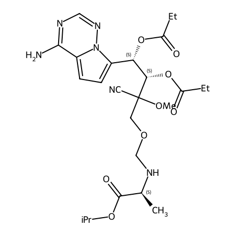 CCC(=O)O[C@@H](c1ccc2c(N)ncnn12)[C@H](OC(=O)CC)C(C#N)(COCN[C@@H](C)C(=O)OC(C)C)OC